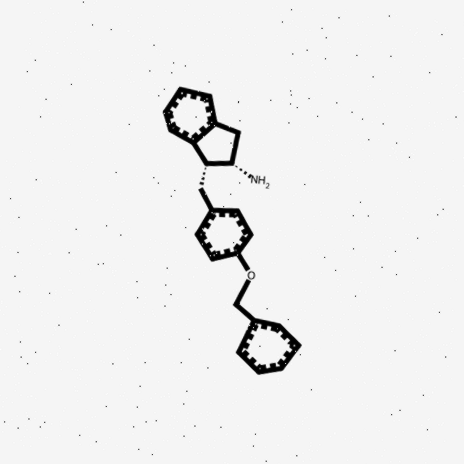 N[C@H]1Cc2ccccc2[C@H]1Cc1ccc(OCc2ccccc2)cc1